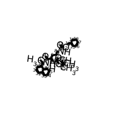 CC(NC(=O)C(CCCNC(=O)OCc1ccccc1)NC(=O)OC(C)(C)C)c1cccc2ccccc12